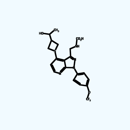 CC(O)C1CN(c2ccnc3c2c(CNC(=O)O)nn3-c2ccc(OC(F)(F)F)cc2)C1